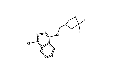 FC1(F)CCC(CNc2nnc(Cl)c3ccncc23)C1